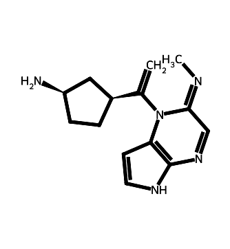 C=C([C@H]1CC[C@@H](N)C1)n1/c(=N\C)cnc2[nH]ccc21